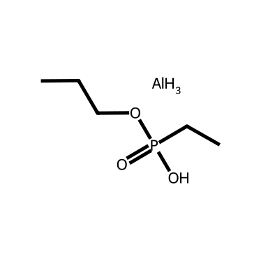 CCCOP(=O)(O)CC.[AlH3]